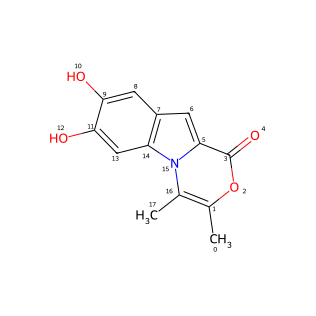 Cc1oc(=O)c2cc3cc(O)c(O)cc3n2c1C